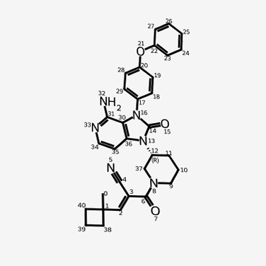 CC1(C=C(C#N)C(=O)N2CCC[C@@H](n3c(=O)n(-c4ccc(Oc5ccccc5)cc4)c4c(N)nccc43)C2)CCC1